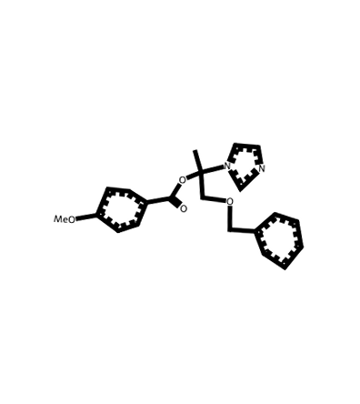 COc1ccc(C(=O)OC(C)(COCc2ccccc2)n2ccnc2)cc1